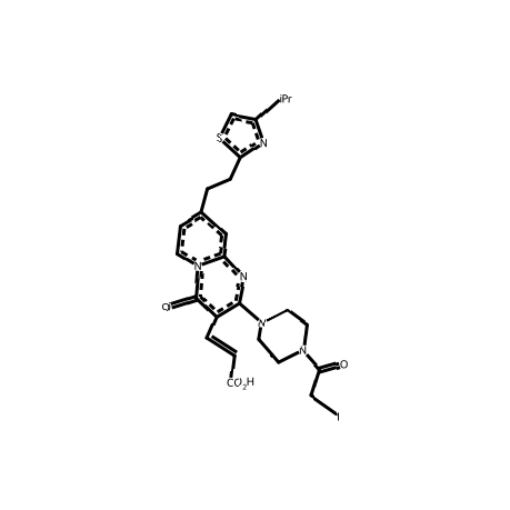 CC(C)c1csc(CCc2ccn3c(=O)c(/C=C/C(=O)O)c(N4CCN(C(=O)CI)CC4)nc3c2)n1